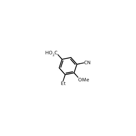 CCc1cc(C(=O)O)cc(C#N)c1OC